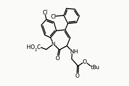 CC(C)(C)OC(=O)CNC1C=C(c2ccccc2Cl)c2cc(Cl)ccc2N(CC(=O)O)C1=O